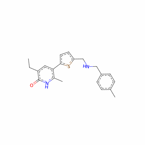 CCc1cc(-c2ccc(CNCc3ccc(C)cc3)s2)c(C)[nH]c1=O